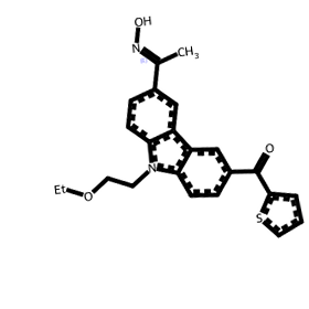 CCOCCn1c2ccc(C(=O)c3cccs3)cc2c2cc(/C(C)=N/O)ccc21